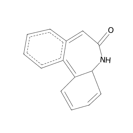 O=C1C=c2ccccc2=C2C=CC=CC2N1